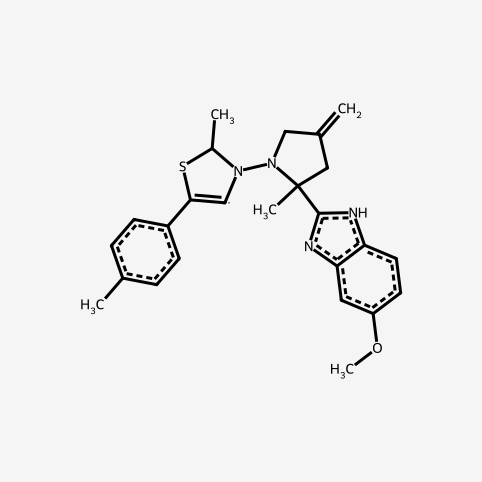 C=C1CN(N2[C]=C(c3ccc(C)cc3)SC2C)C(C)(c2nc3cc(OC)ccc3[nH]2)C1